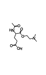 CC(=O)NC(CCC(=O)O)C(=O)OCCN(C)C